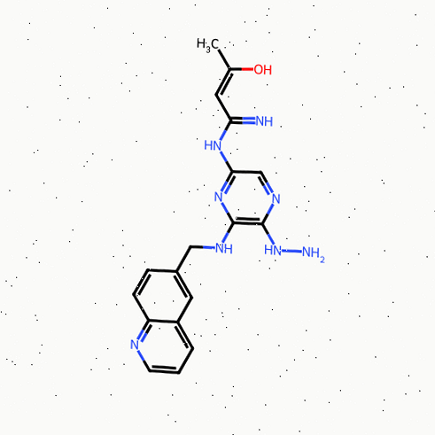 C/C(O)=C/C(=N)Nc1cnc(NN)c(NCc2ccc3ncccc3c2)n1